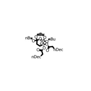 CCCCCCCCCCCC(=O)[O][Sn]1([O]C(=O)CCCCCCCCCCC)[CH2]CC(OCCCC)(OCCCC)[O][Sn]1([O]CCCC)[O]CCCC